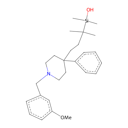 COc1cccc(CN2CCC(CCC(C)(C)[Si](C)(C)O)(c3ccccc3)CC2)c1